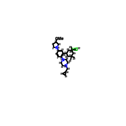 COC1CCN(c2ccc(N3CCN(CC4CC4)CC3)c(C3CC(C)(C)CC(C)(C)C3)c2)C1.Cl